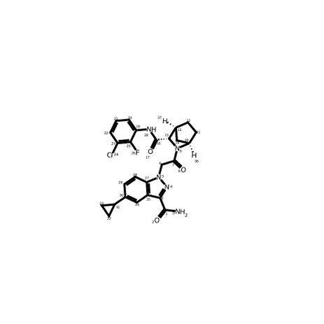 NC(=O)c1nn(CC(=O)N2[C@@H]3CC[C@@H](C3)[C@H]2C(=O)Nc2cccc(Cl)c2F)c2ccc(C3CC3)cc12